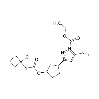 CCOC(=O)n1nc([C@H]2CC[C@@H](OC(=O)NC3(C)CCC3)C2)cc1N